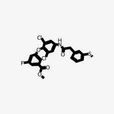 COC(=O)c1cc(F)cc(Oc2c(Cl)cc(NC(=O)Cc3cccc(SC)c3)cc2Cl)c1